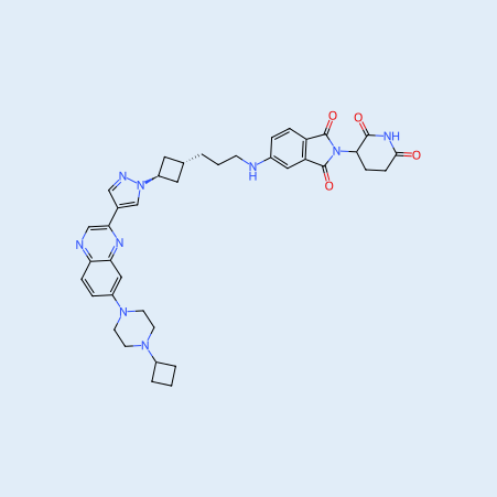 O=C1CCC(N2C(=O)c3ccc(NCCC[C@H]4C[C@H](n5cc(-c6cnc7ccc(N8CCN(C9CCC9)CC8)cc7n6)cn5)C4)cc3C2=O)C(=O)N1